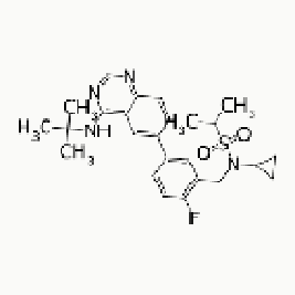 CC(C)S(=O)(=O)N(Cc1cc(-c2ccc3ncnc(NC(C)(C)C)c3c2)ccc1F)C1CC1